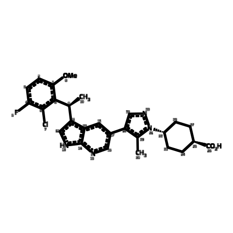 COc1ccc(F)c(Cl)c1[C@@H](C)c1c[nH]c2ncc(-c3cnn([C@H]4CC[C@H](C(=O)O)CC4)c3C)cc12